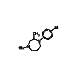 C=C1CN(C(C)(C)C)CCCN1c1ccc(CC)cc1